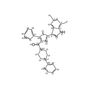 Cc1cc(C)c2[nH]nc(-c3nc(C(=O)N4CCN(c5ccccn5)CC4)c(-c4cccnc4)s3)c2c1